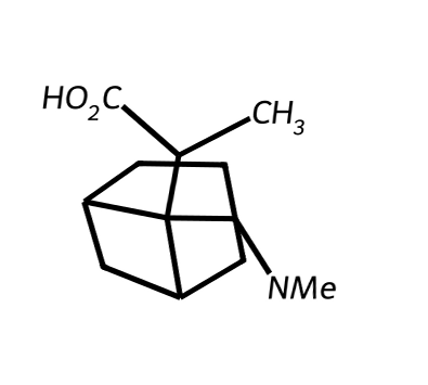 CNCC1(C(C)C(=O)O)C2CCCC1C2